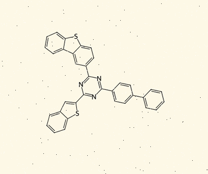 c1ccc(-c2ccc(-c3nc(-c4ccc5sc6ccccc6c5c4)nc(-c4cc5ccccc5s4)n3)cc2)cc1